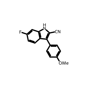 COc1ccc(-c2c(C#N)[nH]c3cc(F)ccc23)cc1